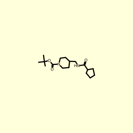 CC(C)(C)OC(=O)N1CCC(CNC(=O)C2CCCC2)CC1